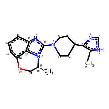 Cc1[nH]cnc1C1CCN(c2nc3cccc4c3n2[C@H](C)CO4)CC1